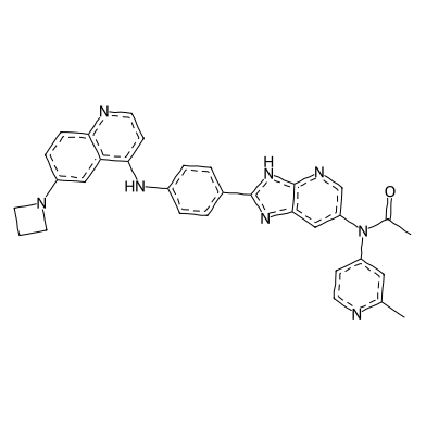 CC(=O)N(c1ccnc(C)c1)c1cnc2[nH]c(-c3ccc(Nc4ccnc5ccc(N6CCC6)cc45)cc3)nc2c1